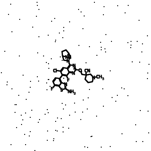 CN1CCCC(C#N)(COc2nc(N3CC4CCC(C3)N4)c3cc(Cl)c(-c4ccc(F)c5sc(N)nc45)c(F)c3n2)C1